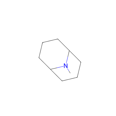 CN1C2CCCC1CCC2